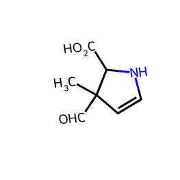 CC1(C=O)C=CNC1C(=O)O